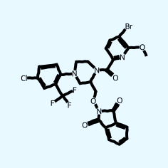 COc1nc(C(=O)N2CCN(c3ccc(Cl)cc3C(F)(F)F)CC2CON2C(=O)c3ccccc3C2=O)ccc1Br